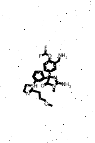 COCCCC1=NCC[SH]1c1cccc(C2(c3ccc(OC(F)F)c(CN)c3)N=C(N)N(C)C2=O)c1